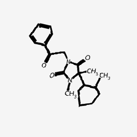 CC1CCCCC1C1(C)C(=O)N(CC(=O)c2ccccc2)C(=O)N1C